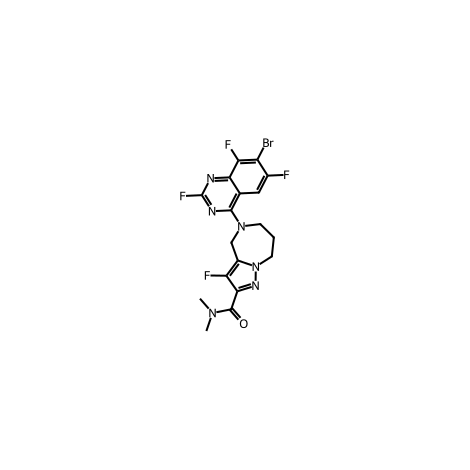 CN(C)C(=O)c1nn2c(c1F)CN(c1nc(F)nc3c(F)c(Br)c(F)cc13)CCC2